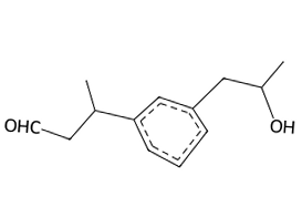 CC(O)Cc1cccc(C(C)CC=O)c1